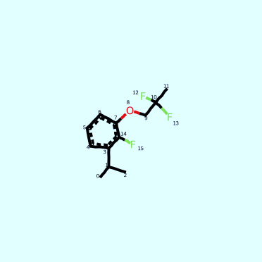 CC(C)c1cccc(OCC(C)(F)F)c1F